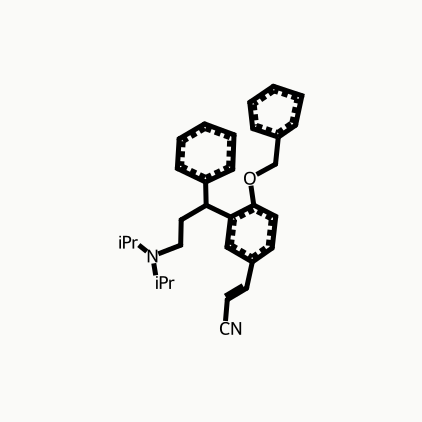 CC(C)N(CCC(c1ccccc1)c1cc(C=CC#N)ccc1OCc1ccccc1)C(C)C